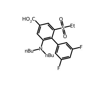 CCCCN(CCCC)c1cc(C(=O)O)cc(S(=O)(=O)CC)c1-c1cc(F)cc(F)c1